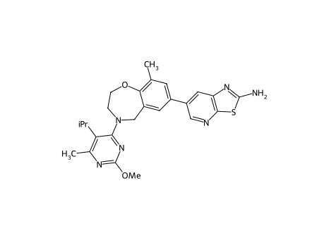 COc1nc(C)c(C(C)C)c(N2CCOc3c(C)cc(-c4cnc5sc(N)nc5c4)cc3C2)n1